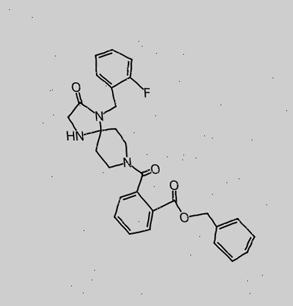 O=C(OCc1ccccc1)c1ccccc1C(=O)N1CCC2(CC1)NCC(=O)N2Cc1ccccc1F